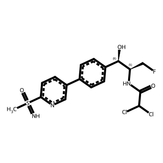 CS(=N)(=O)c1ccc(-c2ccc([C@@H](O)[C@@H](CF)NC(=O)C(Cl)Cl)cc2)cn1